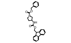 O=C(NC1CCN(C(=O)OCc2ccccc2)C1)OCC1c2ccccc2-c2ccccc21